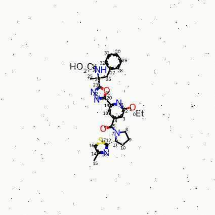 CCOc1cc(C(=O)N2CCC[C@@H]2c2nc(C)cs2)cc(-c2nnc([C@@](C)(Cc3ccccc3)NC(=O)O)o2)n1